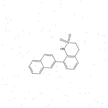 O=S1(=O)CCc2cccc(-c3ccc4ccccc4c3)c2N1